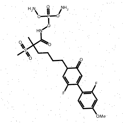 COc1ccc(C2=CC(=O)C(CCCCC(C)(C(=O)NOP(=O)(ON)ON)S(C)(=O)=O)C=C2F)c(F)c1